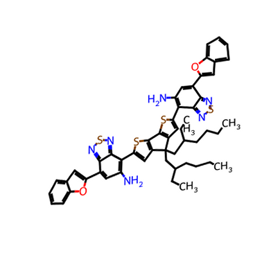 CCCCC(CC)CC1(CC(CC)CCCC)c2cc(-c3c(N)cc(-c4cc5ccccc5o4)c4nsnc34)sc2-c2sc(-c3c(N)cc(-c4cc5ccccc5o4)c4nsnc34)cc21